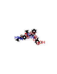 CC1C2CC(COC2O)C1OC(=O)N[C@@H](Cc1ccccc1)[C@H](O)CN(CC1(C)CC1)S(=O)(=O)c1ccc2nc(NC3CC3)sc2c1